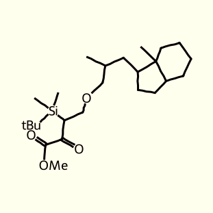 COC(=O)C(=O)C(COCC(C)CC1CCC2CCCCC21C)[Si](C)(C)C(C)(C)C